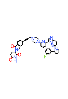 O=C1CCC(N2Cc3cc(C#CCN4CCN(c5cccc(-c6cnc7ccc(N8CCC[C@H]8c8cccc(F)c8)nn67)n5)CC4)ccc3C2=O)C(=O)N1